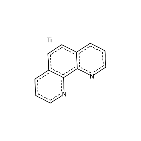 [Ti].c1cnc2c(c1)ccc1cccnc12